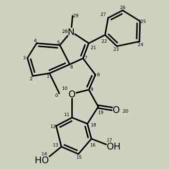 Cc1cccc2c1c(C=C1Oc3cc(O)cc(O)c3C1=O)c(-c1ccccc1)n2C